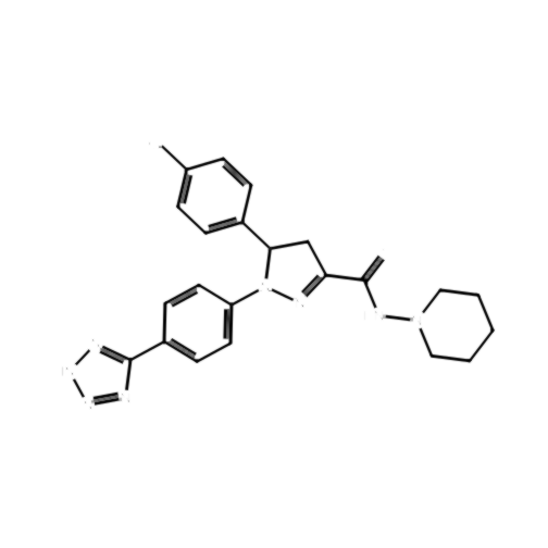 O=C(NN1CCCCC1)C1=NN(c2ccc(-c3nn[nH]n3)cc2)C(c2ccc(Cl)cc2)C1